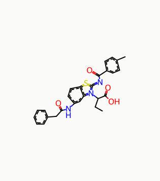 CCC(C(=O)O)n1c(=NC(=O)c2ccc(C)cc2)sc2ccc(NC(=O)Cc3ccccc3)cc21